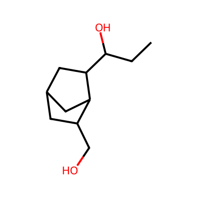 CCC(O)C1CC2CC(CO)C1C2